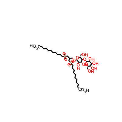 O=C(O)CCCCCCCCCCS(=O)(=O)CC(CO[C@@H]1O[C@H](CO)[C@@H](O[C@@H]2O[C@H](CO)[C@H](O)[C@H](O)[C@H]2O)[C@H](O)[C@H]1O)CS(=O)(=O)CCCCCCCCCCC(=O)O